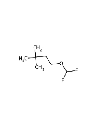 [CH2]C(C)(C)CCOC(F)F